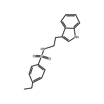 CCc1ccc(S(=O)(=O)NCCc2c[nH]c3ccccc23)cc1